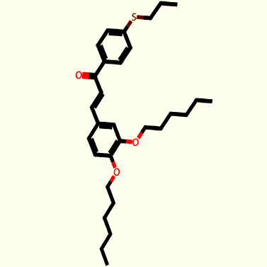 CCCCCCOc1ccc(/C=C/C(=O)c2ccc(SCCC)cc2)cc1OCCCCCC